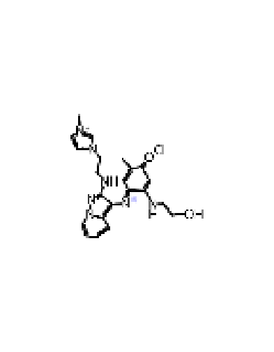 CC1=C/C(=N\c2c(NCCn3cc[n+](C)c3)nn3ccccc23)C(NCCO)=CC1=O.[Cl-]